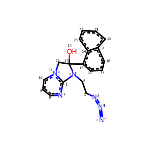 [N-]=[N+]=NCCN1c2nccc[n+]2CC1(O)c1cccc2ccccc12